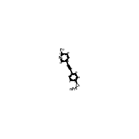 CCCOc1ccc(C#Cc2ccc(F)nc2)cc1